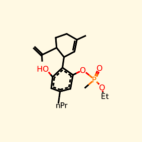 C=C(C)C1CCC(C)=CC1c1c(O)cc(CCC)cc1OP(C)(=O)OCC